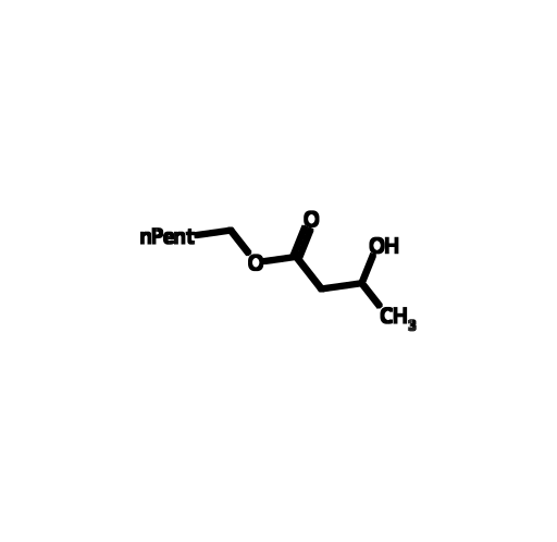 CCCCCCOC(=O)CC(C)O